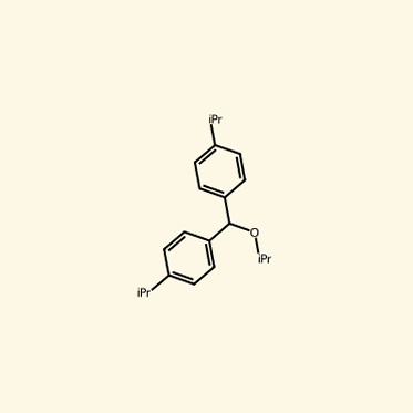 CC(C)OC(c1ccc(C(C)C)cc1)c1ccc(C(C)C)cc1